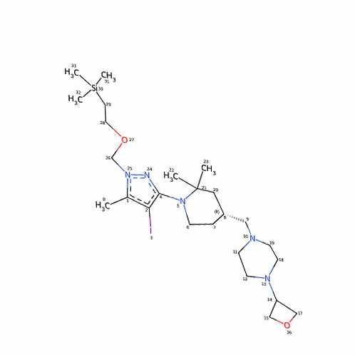 Cc1c(I)c(N2CC[C@@H](CN3CCN(C4COC4)CC3)CC2(C)C)nn1COCC[Si](C)(C)C